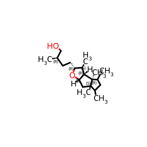 CC1CC(C)[C@]2(C)[C@H]3[C@H](C)[C@@H](CC[C@@H](C)CO)O[C@H]3C[C@@]12C